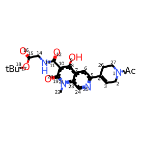 CC(=O)N1CC=C(c2cc3c(O)c(C(=O)NCC(=O)OC(C)(C)C)c(=O)n(C)c3cn2)CC1